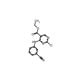 CCOC(=O)c1cnc(Cl)nc1Nc1cccc(C#N)c1